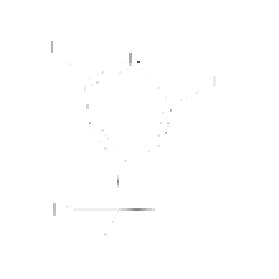 CCC(C)(C)c1cc(F)nc(F)c1